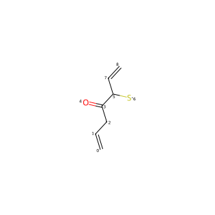 C=CCC(=O)C([S])C=C